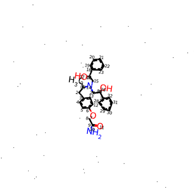 C[C@H](Cc1ccc(OCC(N)=O)cc1)N(C[C@@H](O)c1ccccc1)C[C@@H](O)c1ccccc1